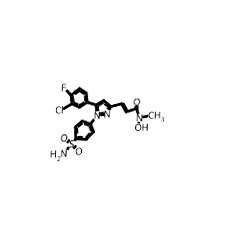 CN(O)C(=O)C=Cc1cc(-c2ccc(F)c(Cl)c2)n(-c2ccc(S(N)(=O)=O)cc2)n1